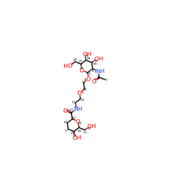 CC(=O)NC1C(OCCOCCNC(=O)C2CCC(O)C(CO)O2)OC(CO)C(O)C1O